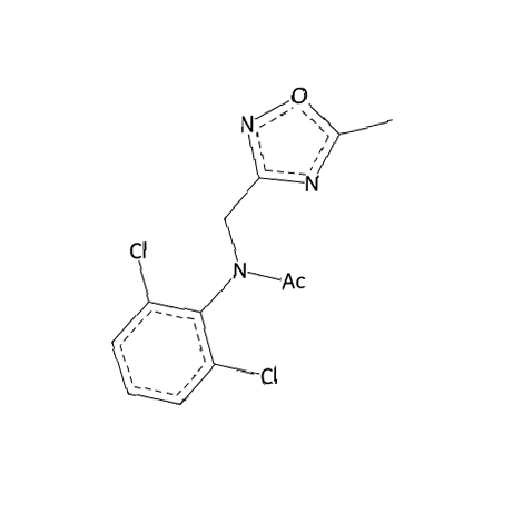 CC(=O)N(Cc1noc(C)n1)c1c(Cl)cccc1Cl